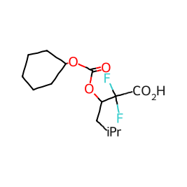 CC(C)CC(OC(=O)OC1CCCCC1)C(F)(F)C(=O)O